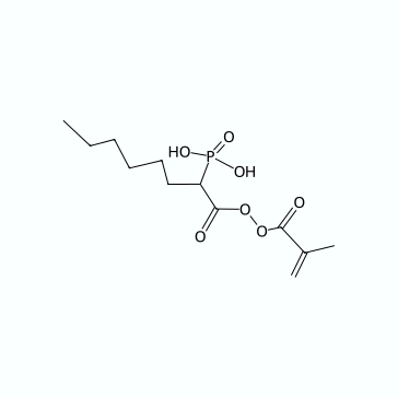 C=C(C)C(=O)OOC(=O)C(CCCCCC)P(=O)(O)O